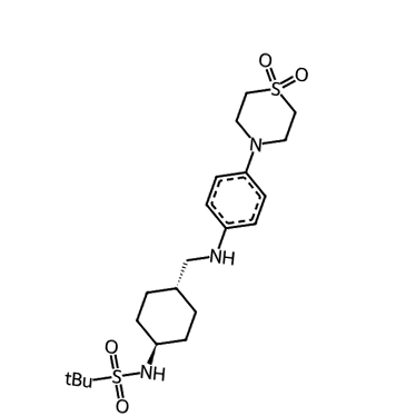 CC(C)(C)S(=O)(=O)N[C@H]1CC[C@H](CNc2ccc(N3CCS(=O)(=O)CC3)cc2)CC1